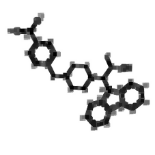 CC(O)C(N1CCN(Cc2ccc([N+](=O)[O-])cc2)CC1)n1c2ccccc2c2ccccc21